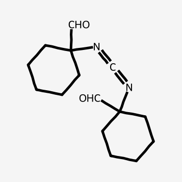 O=CC1(N=C=NC2(C=O)CCCCC2)CCCCC1